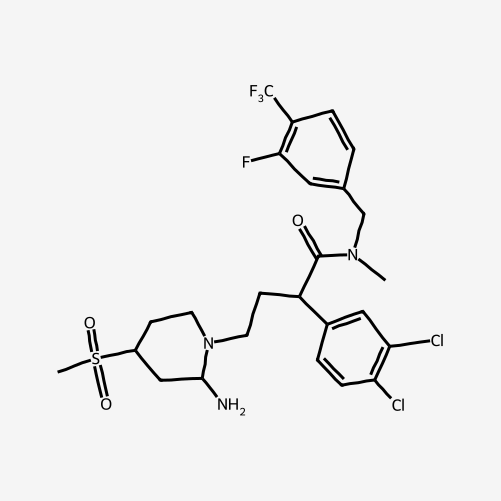 CN(Cc1ccc(C(F)(F)F)c(F)c1)C(=O)C(CCN1CCC(S(C)(=O)=O)CC1N)c1ccc(Cl)c(Cl)c1